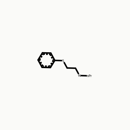 CCC[N]CCSc1ccccc1